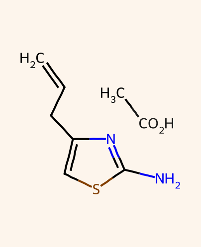 C=CCc1csc(N)n1.CC(=O)O